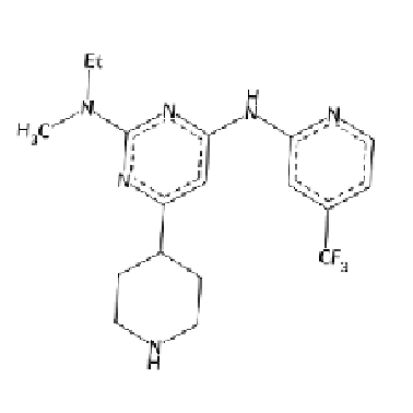 CCN(C)c1nc(Nc2cc(C(F)(F)F)ccn2)cc(C2CCNCC2)n1